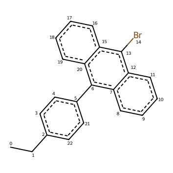 CCc1ccc(-c2c3ccccc3c(Br)c3ccccc23)cc1